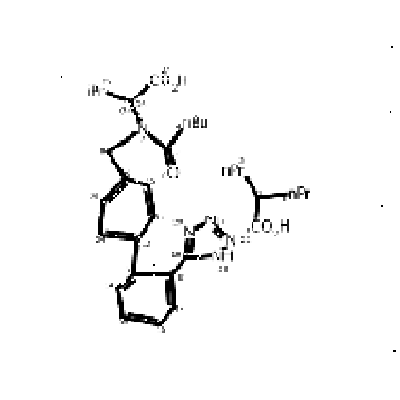 CCCC(CCC)C(=O)O.CCCCC(=O)N(Cc1ccc(-c2ccccc2-c2nnn[nH]2)cc1)[C@H](C(=O)O)C(C)C